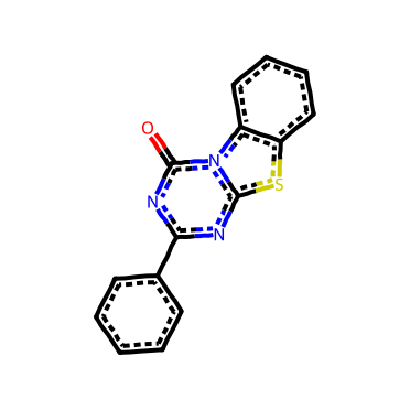 O=c1nc(-c2ccccc2)nc2sc3ccccc3n12